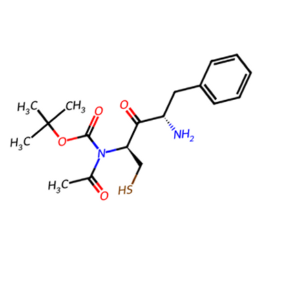 CC(=O)N(C(=O)OC(C)(C)C)[C@H](CS)C(=O)[C@@H](N)Cc1ccccc1